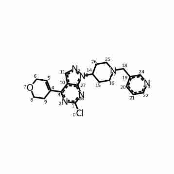 Clc1nc(C2=CCOCC2)c2cnn(C3CCN(Cc4cccnc4)CC3)c2n1